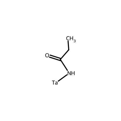 CCC(=O)[NH][Ta]